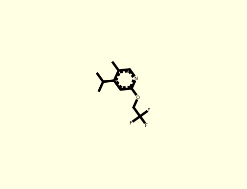 Cc1cnc(OCC(F)(F)F)cc1C(C)C